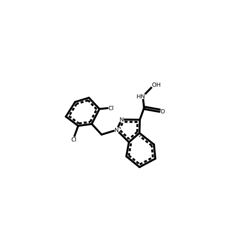 O=C(NO)c1nn(Cc2c(Cl)cccc2Cl)c2ccccc12